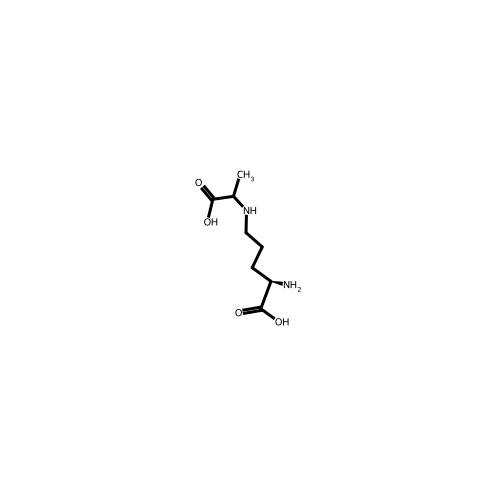 CC(NCCC[C@@H](N)C(=O)O)C(=O)O